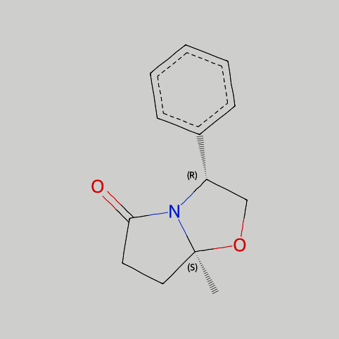 C[C@]12CCC(=O)N1[C@H](c1ccccc1)CO2